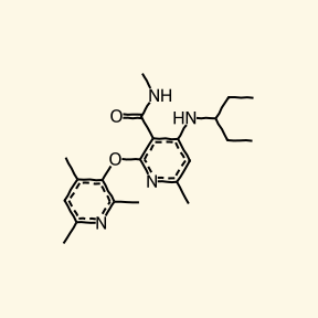 CCC(CC)Nc1cc(C)nc(Oc2c(C)cc(C)nc2C)c1C(=O)NC